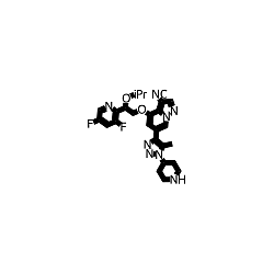 Cc1c(-c2cc(OCC(OC(C)C)c3ncc(F)cc3F)c3c(C#N)cnn3c2)nnn1C1CCNCC1